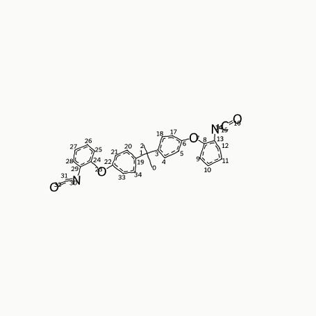 CC(C)(c1ccc(Oc2ccccc2N=C=O)cc1)c1ccc(Oc2ccccc2N=C=O)cc1